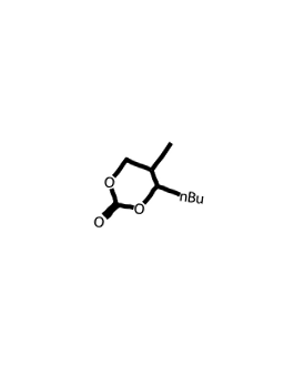 CCCCC1OC(=O)OCC1C